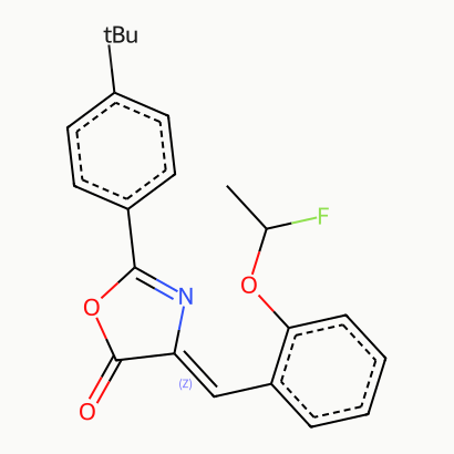 CC(F)Oc1ccccc1/C=C1\N=C(c2ccc(C(C)(C)C)cc2)OC1=O